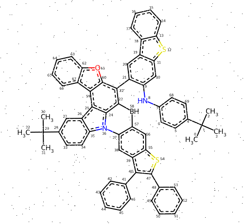 CC(C)(C)c1ccc(Nc2cc3sc4ccccc4c3cc2-c2c3c4c(c5cc(C(C)(C)C)ccc5n4-c4cc5c(-c6ccccc6)c(-c6ccccc6)sc5cc4B3)c3c2oc2ccccc23)cc1